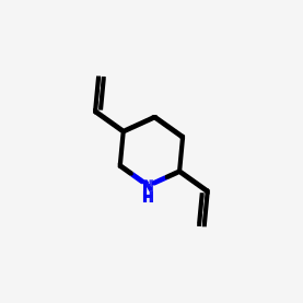 C=CC1CCC(C=C)NC1